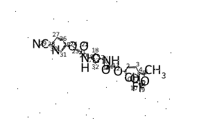 C=C(/C=C\C1=C(C)OC(F)(F)O1)OCC(=O)NC12CC(NC(=O)COc3ccc(C#N)nc3)(C1)C2